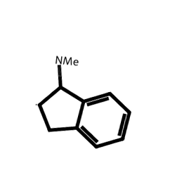 CNC1[CH]Cc2ccccc21